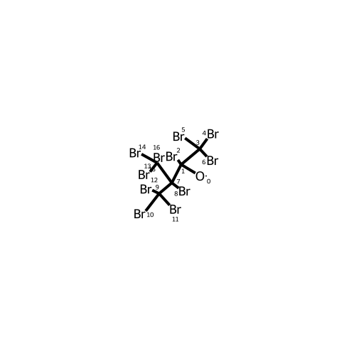 [O]C(Br)(C(Br)(Br)Br)C(Br)(C(Br)(Br)Br)C(Br)(Br)Br